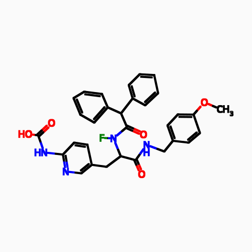 COc1ccc(CNC(=O)C(Cc2ccc(NC(=O)O)nc2)N(F)C(=O)C(c2ccccc2)c2ccccc2)cc1